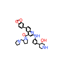 O=C(c1cc(Nc2cccc(C3CCNC[C@@H]3O)c2)nc2ccc(-c3ccc4c(c3)OCO4)cc12)N1CCCC1CN1CCCC1